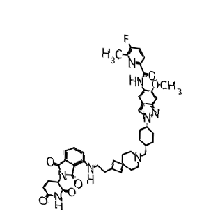 COc1cc2nn([C@H]3CC[C@H](CN4CCC5(CC4)CC(CCNc4cccc6c4C(=O)N(C4CCC(=O)NC4=O)C6=O)C5)CC3)cc2cc1NC(=O)c1ccc(F)c(C)n1